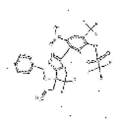 C=CCC(OCc1ccccc1)(c1nnc(-c2nc(OS(=O)(=O)C(F)(F)F)c(C(F)(F)F)cc2[N+](=O)[O-])o1)C(F)(F)F